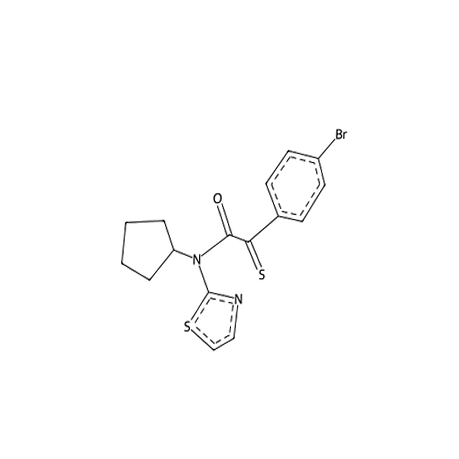 O=C(C(=S)c1ccc(Br)cc1)N(c1nccs1)C1CCCC1